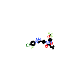 C[C](C)CC(OC1CC(OC(F)(F)F)C1)C(=O)NC12CC(c3cn(-c4ccc(Cl)c(F)c4)nn3)(C1)C2